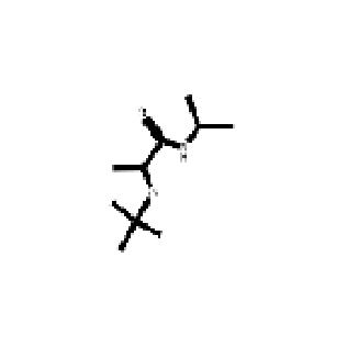 CC(C)NC(=O)C(C)OC(C)(C)C